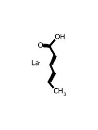 CC=CC=CC(=O)O.[La]